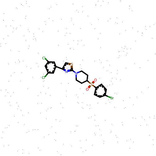 O=S(=O)(c1ccc(Br)cc1)C1CCN(c2nc(-c3cc(Cl)cc(Cl)c3)cs2)CC1